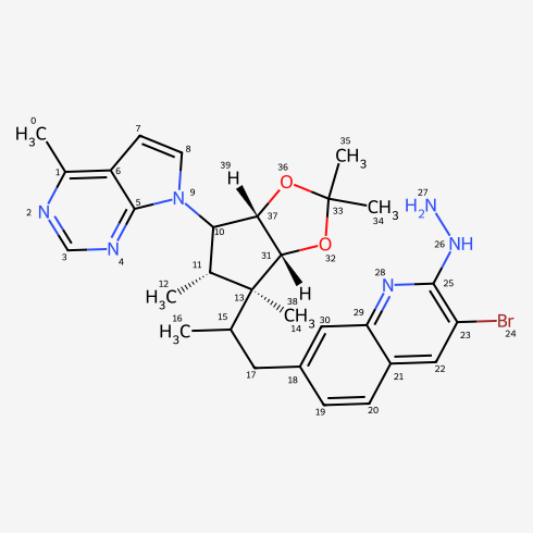 Cc1ncnc2c1ccn2C1[C@@H](C)[C@](C)(C(C)Cc2ccc3cc(Br)c(NN)nc3c2)[C@H]2OC(C)(C)O[C@@H]12